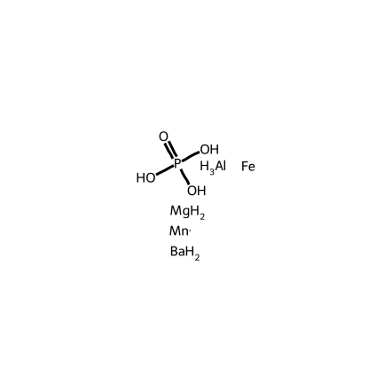 O=P(O)(O)O.[AlH3].[BaH2].[Fe].[MgH2].[Mn]